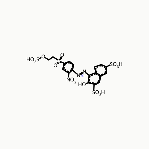 O=[N+]([O-])c1cc(S(=O)(=O)CCOS(=O)(=O)O)ccc1/N=N/c1c(O)c(S(=O)(=O)O)cc2cc(S(=O)(=O)O)ccc12